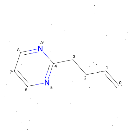 [CH]=CCCc1ncccn1